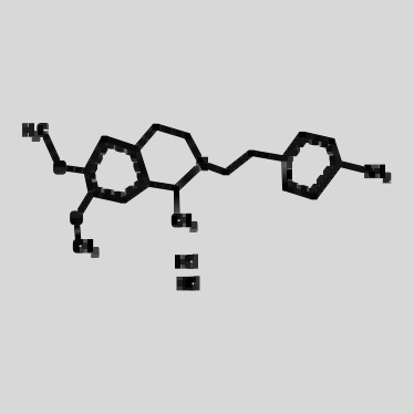 COc1cc2c(cc1OC)C(C)N(CCc1ccc(N)cc1)CC2.Cl.Cl